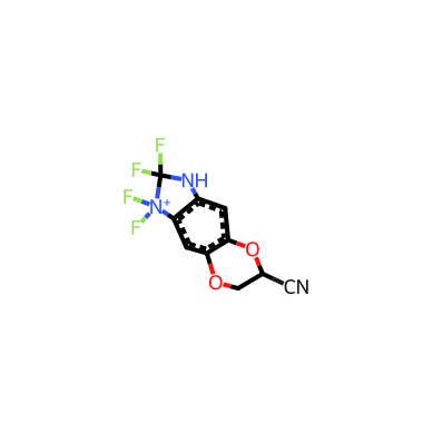 N#CC1COc2cc3c(cc2O1)NC(F)(F)[N+]3(F)F